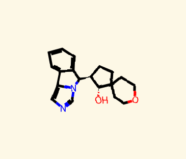 O[C@@H]1[C@@H](C2c3ccccc3-c3cncn32)CCC12CCOCC2